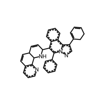 C1=CCCC(c2cnn3c(-c4ccccc4)c(C4C=CC5C=Cc6cccnc6C5N4)c4ccccc4c23)=C1